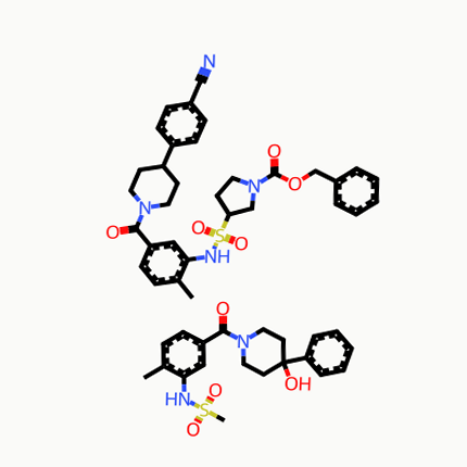 Cc1ccc(C(=O)N2CCC(O)(c3ccccc3)CC2)cc1NS(C)(=O)=O.Cc1ccc(C(=O)N2CCC(c3ccc(C#N)cc3)CC2)cc1NS(=O)(=O)C1CCN(C(=O)OCc2ccccc2)C1